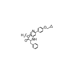 COC(=O)C(Cc1ccccc1)Nc1cc(-c2ccc(OCC3CC3)cc2)ncn1